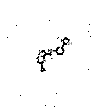 O=C(Nc1cccc(-c2ncc[nH]2)c1)c1cnn2ccc(C3CC3)nc12